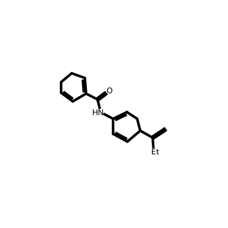 C=C(CC)C1C=CC(NC(=O)C2=CCCC=C2)=CC1